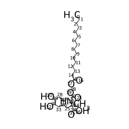 CCCCCCCCCCCCCCCC(=O)OCOC(=O)N[C@@](C)(Cc1ccc(O)c(O)c1)C(=O)O